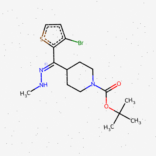 CN/N=C(/c1sccc1Br)C1CCN(C(=O)OC(C)(C)C)CC1